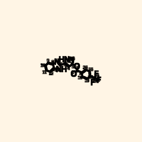 O=C(Oc1cc(-c2nc3ccccc3[nH]2)[nH]n1)c1ccc(C(F)(F)F)cc1